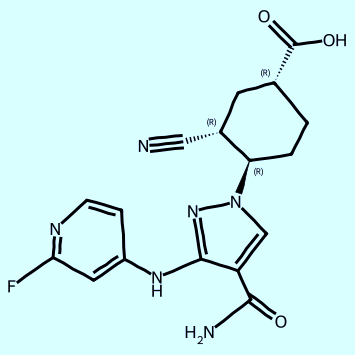 N#C[C@@H]1C[C@H](C(=O)O)CC[C@H]1n1cc(C(N)=O)c(Nc2ccnc(F)c2)n1